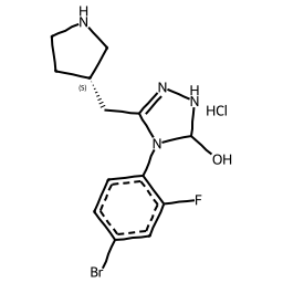 Cl.OC1NN=C(C[C@@H]2CCNC2)N1c1ccc(Br)cc1F